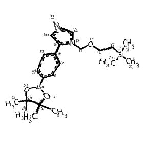 CC1(C)OB(c2ccc(-c3cncn3COCC[Si](C)(C)C)cc2)OC1(C)C